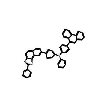 c1ccc(-c2nc3ccc4ccc(-c5ccc(N(c6ccccc6)c6ccc(-c7cc8ccccc8c8ccccc78)cc6)cc5)cc4c3o2)cc1